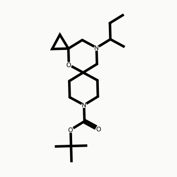 CCC(C)N1CC2(CCN(C(=O)OC(C)(C)C)CC2)OC2(CC2)C1